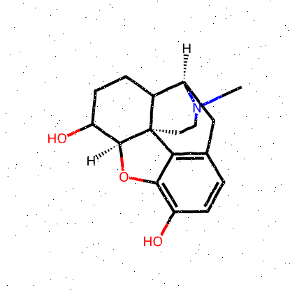 CN1CC[C@]23c4c5ccc(O)c4O[C@H]2C(O)CCC3[C@H]1C5